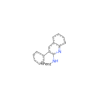 CCCCCNc1nc2ccccc2cc1-c1ccccc1